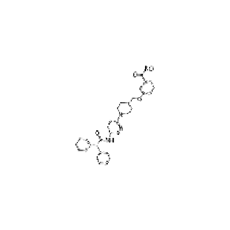 O=NC(=O)c1cccc(OCC2CCN(c3ccc(NC(=O)C(c4ccccc4)c4ccccc4)cn3)CC2)c1